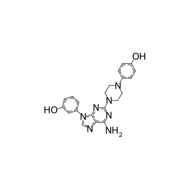 Nc1nc(N2CCN(c3ccc(O)cc3)CC2)nc2c1ncn2-c1cccc(O)c1